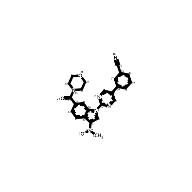 C[S+]([O-])c1cn(-c2ncc(-c3cccc(C#N)c3)cn2)c2cc(C(=O)N3CCOCC3)ccc12